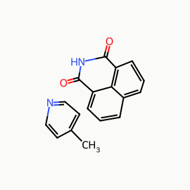 Cc1ccncc1.O=C1NC(=O)c2cccc3cccc1c23